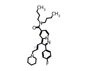 CCCCN(CCCC)C(=O)c1ccn2nc(-c3ccc(F)cc3)c(/C=C/CN3CCCCC3)c2c1